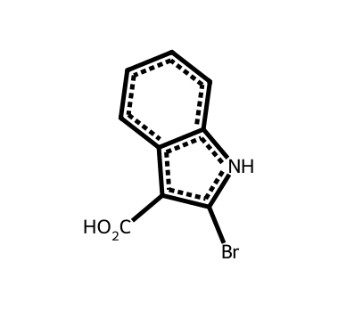 O=C(O)c1c(Br)[nH]c2ccccc12